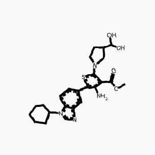 COC(=O)c1c(N2CCC(C(O)O)C2)sc(-c2ccc3c(c2)ncn3C2CCCCC2)c1N